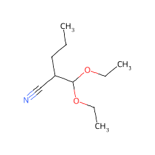 CCCC(C#N)C(OCC)OCC